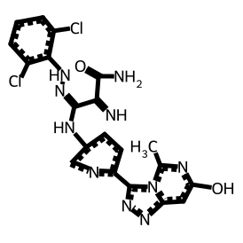 Cc1nc(O)cc2nnc(-c3ccc(N/C(=N/Nc4c(Cl)cccc4Cl)C(=N)C(N)=O)cn3)n12